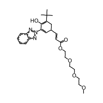 COCCOCCOCCOC(=O)C=CC1C=C(n2nc3ccccc3n2)C(O)=C(C(C)(C)C)C1